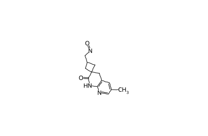 Cc1cnc2c(c1)CC1(CC(CN=O)C1)C(=O)N2